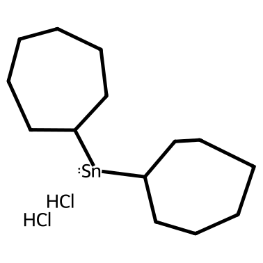 C1CCC[CH]([Sn][CH]2CCCCCC2)CC1.Cl.Cl